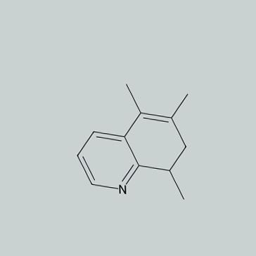 CC1=C(C)c2cccnc2C(C)C1